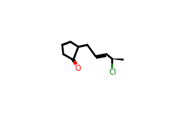 C[C@@H](Cl)C=CCC1CCCC1=O